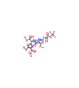 CCc1oc(CNC(=O)OC(C)(C)C)nc1C(=O)NC(c1nc(C(=O)OC)c(CC)o1)C(O)CC